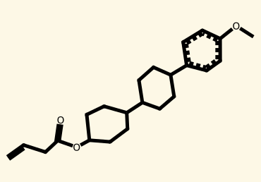 C=CCC(=O)OC1CCC(C2CCC(c3ccc(OC)cc3)CC2)CC1